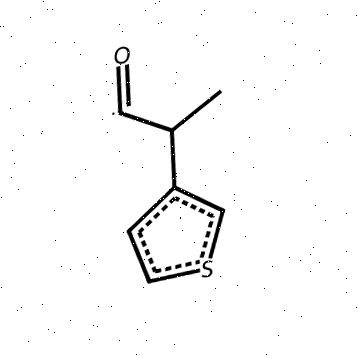 CC([C]=O)c1ccsc1